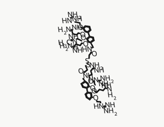 CC(=N)NCCOc1c(-c2cccc(OCCNC(=N)N)c2OCCCC(=N)N)ccc(CNC(=O)CCSSCCC(=O)NCc2ccc(-c3cccc(OCCNC(=N)N)c3OCCCC(=N)N)c(OCCNC(=N)N)c2OCCCC(=N)N)c1OCCCC(=N)N